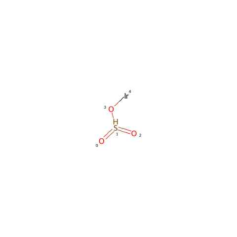 O=[SH](=O)[O][Ir]